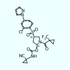 N#CC1(NC(=O)O[C@H]2C[C@@H](S(=O)(=O)c3ccc(-n4cccn4)cc3Cl)CN2C(=O)C2(C(F)(F)F)CC2)CC1